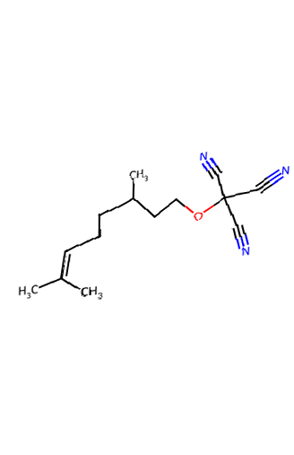 CC(C)=CCCC(C)CCOC(C#N)(C#N)C#N